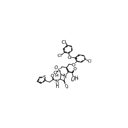 O=C(Cc1cccs1)NC1C(=O)N2C(C(=O)O)=C(COc3cc(Cl)ccc3Oc3ccc(Cl)cc3Cl)CS(=O)(=O)[C@H]12